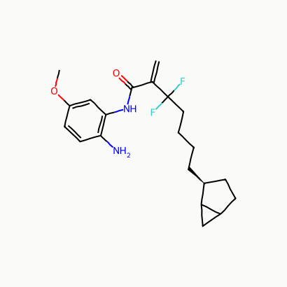 C=C(C(=O)Nc1cc(OC)ccc1N)C(F)(F)CCCC[C@H]1CCC2CC21